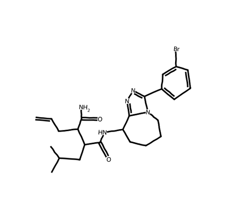 C=CCC(C(N)=O)C(CC(C)C)C(=O)NC1CCCCn2c(-c3cccc(Br)c3)nnc21